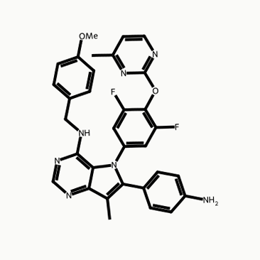 COc1ccc(CNc2ncnc3c(C)c(-c4ccc(N)cc4)n(-c4cc(F)c(Oc5nccc(C)n5)c(F)c4)c23)cc1